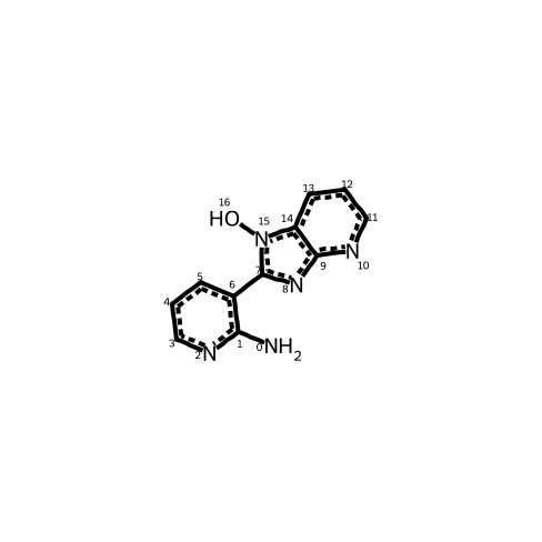 Nc1ncccc1-c1nc2ncccc2n1O